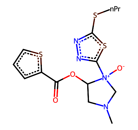 CCCSc1nnc([N+]2([O-])CN(C)CC2OC(=O)c2cccs2)s1